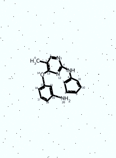 Cc1cnc(Nc2ccccc2)nc1Oc1cccc(N)c1